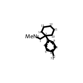 CNCC1(c2ccc(F)cc2)CCCCC1